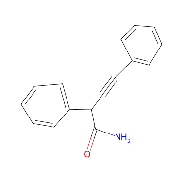 NC(=O)C(C#Cc1ccccc1)c1ccccc1